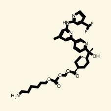 Cc1cc(Nc2cc(C(F)F)ccn2)nc(-c2ccc([C@](C)(O)[C@H]3CC[C@H](C(=O)OCOC(=O)OCCCCCCN)CC3)nc2)c1